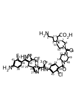 NCCC[N+]1(CC(=O)O)CCN(C(=O)N2CCN(C(=O)c3ccc(NC(=O)c4ncc(Cc5c(C(F)(F)F)n[nH]c5-c5ccc(N)cc5F)[nH]4)cc3Cl)CC2)CC1